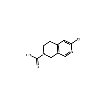 O=C(O)N1CCc2cc(Cl)ncc2C1